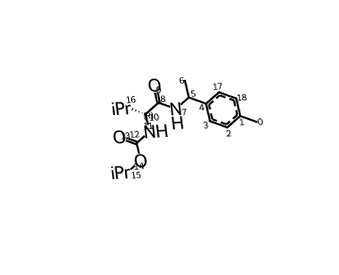 Cc1ccc(C(C)NC(=O)[C@H](NC(=O)OC(C)C)C(C)C)cc1